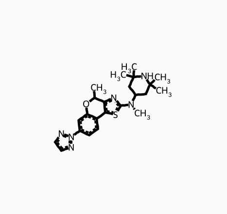 CC1Oc2cc(-n3nccn3)ccc2-c2sc(N(C)C3CC(C)(C)NC(C)(C)C3)nc21